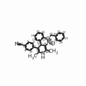 CC1=C(c2ccc(C#N)cc2)C(c2ccccc2OCc2ccccc2)C([N+](=O)[O-])=C(C)N1